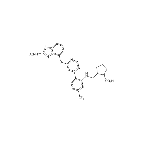 CC(=O)Nc1nc2c(Oc3cc(-c4ccc(C(F)(F)F)nc4NCC4CCCN4C(=O)O)ncn3)cccc2s1